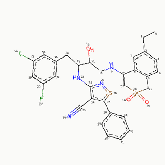 CCc1ccc2c(c1)C(NCC(O)C(Cc1cc(F)cc(F)c1)Nc1nsc(-c3ccccc3)c1C#N)CS(=O)(=O)C2